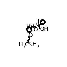 CC(C)CCCOc1cccc(NC(=O)NC(CO)c2ccccc2)c1